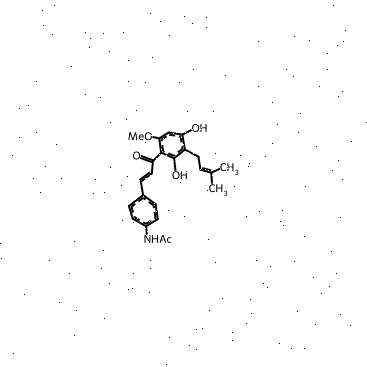 COc1cc(O)c(CC=C(C)C)c(O)c1C(=O)/C=C/c1ccc(NC(C)=O)cc1